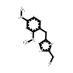 [O]Cc1nc(Cc2ccc(OC(F)(F)F)cc2OC(F)(F)F)cs1